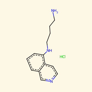 Cl.NCCCCNc1cccc2cnccc12